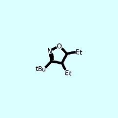 CCC1ON=C(C(C)(C)C)C1CC